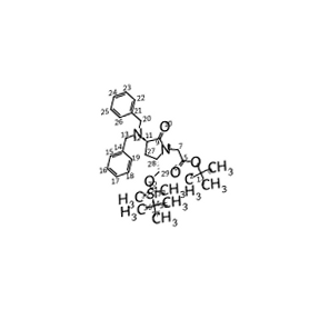 CC(C)(C)OC(=O)CN1C(=O)[C@H](N(Cc2ccccc2)Cc2ccccc2)C[C@H]1CO[Si](C)(C)C(C)(C)C